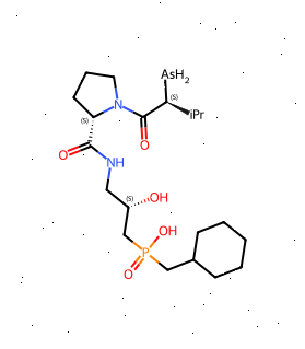 CC(C)[C@H]([AsH2])C(=O)N1CCC[C@H]1C(=O)NC[C@H](O)CP(=O)(O)CC1CCCCC1